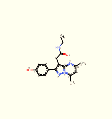 CCNC(=O)Cc1c(-c2ccc(O)cc2)nn2c(C)cc(C)nc12